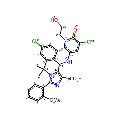 CCOC(=O)c1nc(-c2ccccc2OC)n2c1C(Nc1cc(Cl)c(=O)n(CCO)c1)c1ccc(Cl)cc1C2(C)C